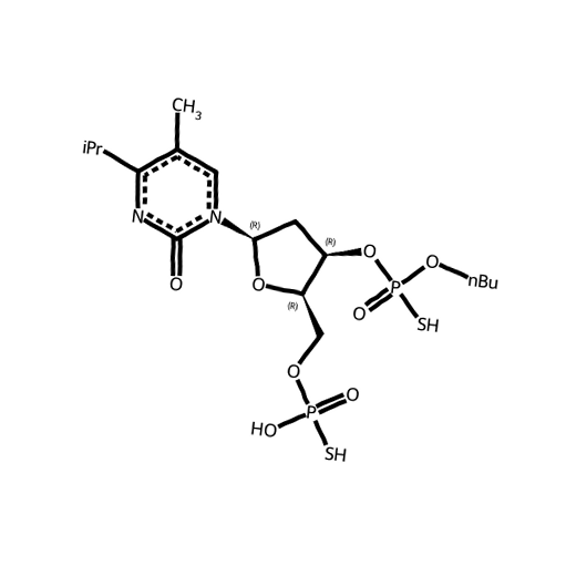 CCCCOP(=O)(S)O[C@@H]1C[C@H](n2cc(C)c(C(C)C)nc2=O)O[C@@H]1COP(=O)(O)S